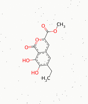 [CH2]Cc1cc2cc(C(=O)OC)oc(=O)c2c(O)c1O